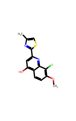 COc1ccc2c(O)cc(-c3nc(C)cs3)nc2c1Cl